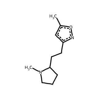 Cc1cc(CCC2CCCN2C)no1